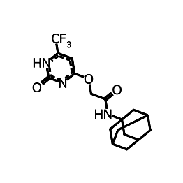 O=C(COc1cc(C(F)(F)F)[nH]c(=O)n1)NC12CC3CC(CC(C3)C1)C2